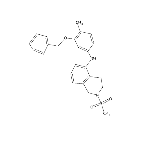 Cc1ccc(Nc2cccc3c2CCN(S(C)(=O)=O)C3)cc1OCc1ccccc1